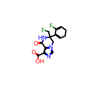 O=C(O)c1ncn2c1C(=O)NC(CF)(C1=CCCC=C1F)C2